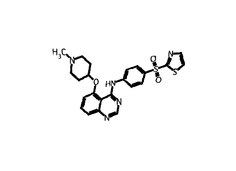 CN1CCC(Oc2cccc3ncnc(Nc4ccc(S(=O)(=O)c5nccs5)cc4)c23)CC1